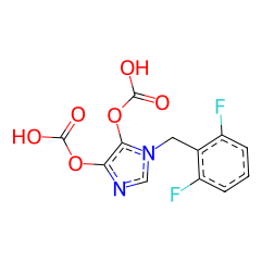 O=C(O)Oc1ncn(Cc2c(F)cccc2F)c1OC(=O)O